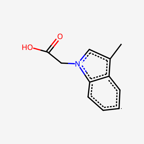 Cc1cn(CC(=O)O)c2cc[c]cc12